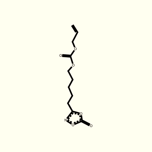 C=CCOC(=O)OCCCCCc1noc(=O)o1